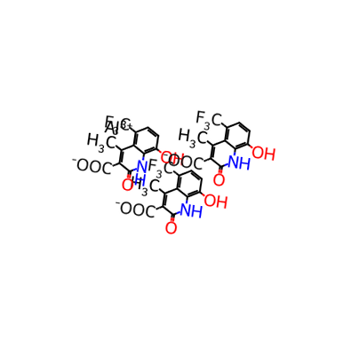 Cc1c(C(=O)[O-])c(=O)[nH]c2c(O)ccc(C(F)(F)F)c12.Cc1c(C(=O)[O-])c(=O)[nH]c2c(O)ccc(C(F)(F)F)c12.Cc1c(C(=O)[O-])c(=O)[nH]c2c(O)ccc(C(F)(F)F)c12.[Al+3]